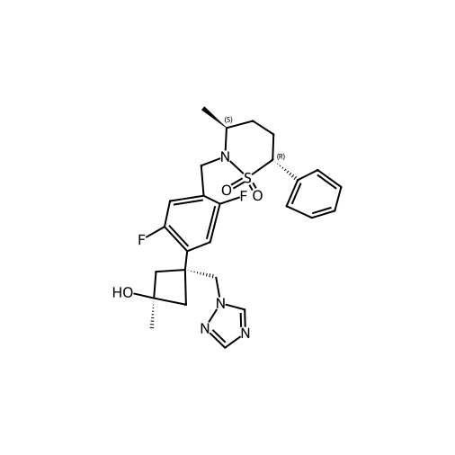 C[C@H]1CC[C@H](c2ccccc2)S(=O)(=O)N1Cc1cc(F)c([C@]2(Cn3cncn3)C[C@](C)(O)C2)cc1F